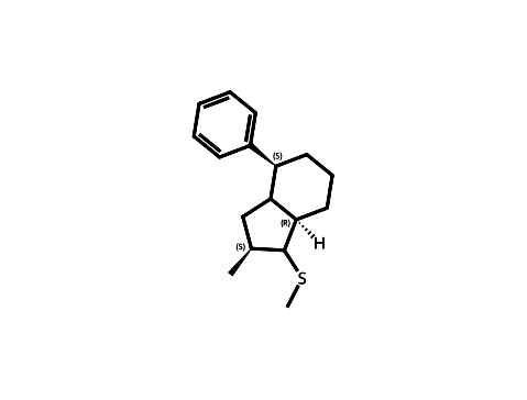 CSC1[C@@H]2CCC[C@H](c3ccccc3)C2C[C@@H]1C